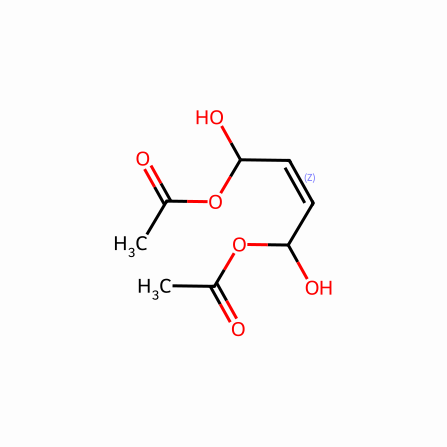 CC(=O)OC(O)/C=C\C(O)OC(C)=O